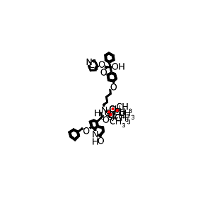 CC(C)(C)OC(=O)N(CCCCCOc1ccc(C(O)(C(=O)OC2CN3CCC2CC3)c2ccccc2)cc1)CC(O[Si](C)(C)C(C)(C)C)c1ccc(OCc2ccccc2)c2[nH]c(=O)ccc12